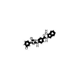 O=C(N[C@H]1Cc2ccccc2[C@H]1O)c1ccc(Nc2nn(-c3cccc(Cl)c3)c(=O)[nH]2)cc1